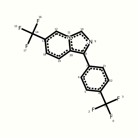 FC(F)(F)c1ccc(-c2ncn3cc(C(F)(F)F)ccc23)cc1